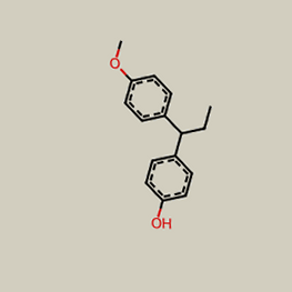 CCC(c1ccc(O)cc1)c1ccc(OC)cc1